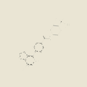 CC(C)(O)[C@H]1CC[C@H](NC(=O)c2ccc(-c3ncc(F)c4[nH]ccc34)cc2)CC1